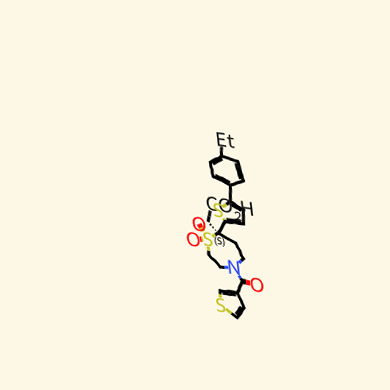 CCc1ccc(-c2ccc([C@@]3(CC(=O)O)CCN(C(=O)c4ccsc4)CCS3(=O)=O)s2)cc1